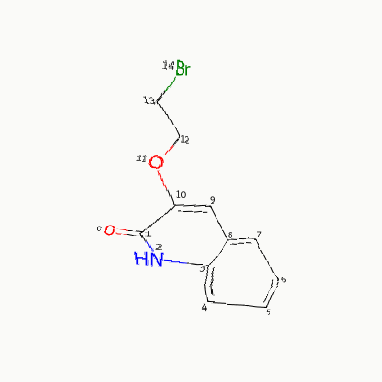 O=c1[nH]c2ccccc2cc1OCCBr